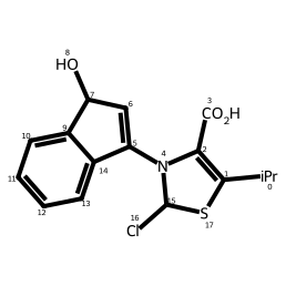 CC(C)C1=C(C(=O)O)N(C2=CC(O)c3ccccc32)C(Cl)S1